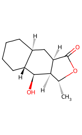 C[C@H]1OC(=O)[C@@H]2C[C@@H]3CCCC[C@H]3[C@H](O)[C@H]12